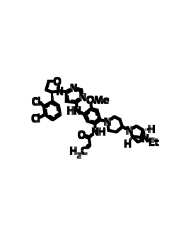 C=CC(=O)Nc1cc(Nc2cc(N3OCC[C@@H]3c3cccc(Cl)c3Cl)ncn2)c(OC)cc1N1CCC(N2C[C@@H]3C[C@H]2CN3CC)CC1